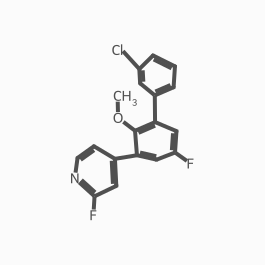 COc1c(-c2cccc(Cl)c2)cc(F)cc1-c1ccnc(F)c1